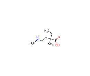 CCC(C)(CCNC)C(=O)O